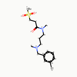 CCCCS(=O)(=O)CCC(=O)N(C)CCCN(C)Cc1cccc(CC)c1